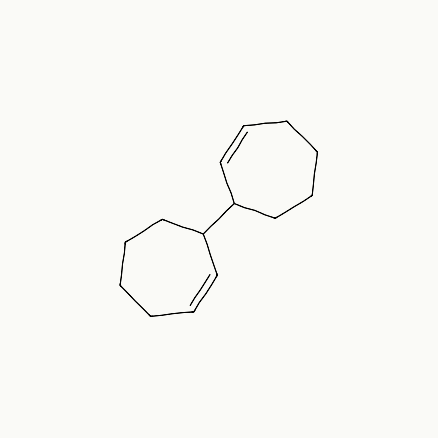 C1=CC(C2C=CCCCC2)CCCC1